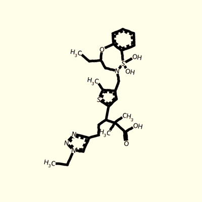 CCC1CN(Cc2cc(C(CCc3cn(CC)nn3)C(C)(C)C(=O)O)sc2C)S(O)(O)c2ccccc2O1